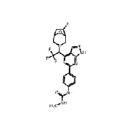 CNC(=O)Nc1ccc(-c2nc(C(N3CC4CC(F)C(C3)O4)C(F)(F)F)c3cn[nH]c3n2)cc1